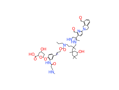 CCCN(CCCC(C)(CN/C(C)=C(\C=N)c1ccc(N2CCc3cccc(C=O)c3C2)nc1C=O)CC1(C)CC(O)CC(C)(C)C1)C(=O)OC/C=C/c1ccc(OC2CC(O)CC(C(=O)O)O2)c(NC(=O)CCNC)c1